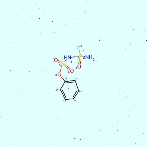 NP(=O)(F)NS(=O)(=O)Oc1ccccc1